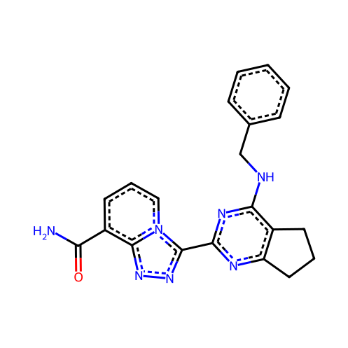 NC(=O)c1cccn2c(-c3nc4c(c(NCc5ccccc5)n3)CCC4)nnc12